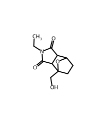 CCN1C(=O)C2C3CCC(CO)(O3)C2C1=O